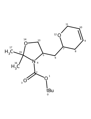 CC(C)(C)OC(=O)N1C(CC2CC=CCO2)COC1(C)C